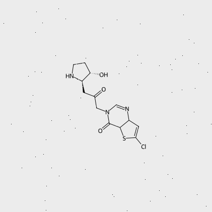 O=C(C[C@H]1NCC[C@@H]1O)CN1C=NC2C=C(Cl)SC2C1=O